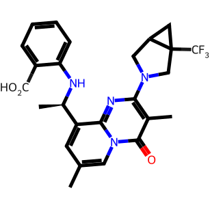 Cc1cc([C@@H](C)Nc2ccccc2C(=O)O)c2nc(N3CC4CC4(C(F)(F)F)C3)c(C)c(=O)n2c1